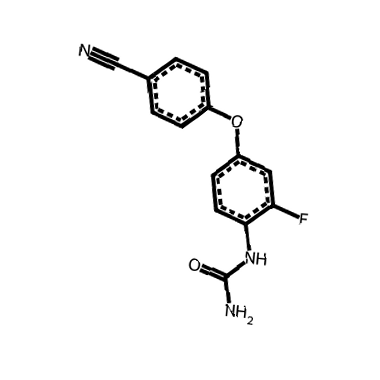 N#Cc1ccc(Oc2ccc(NC(N)=O)c(F)c2)cc1